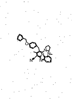 Cc1c(Cc2ccc(OCc3ccccc3)cc2)c(N2CCCC2N(C)C)n2c(nc3ccccc32)c1C#N